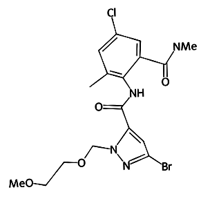 CNC(=O)c1cc(Cl)cc(C)c1NC(=O)c1cc(Br)nn1COCCOC